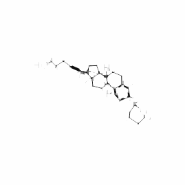 C[C@]12CC[C@@H]3c4ccc(OC5CCCCO5)cc4CC[C@H]3[C@@H]1CC[C@]2(O)C#CCCCO